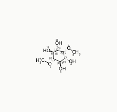 CO[C@@H]1[C@H](O)[C@@H](O)[C@H](OC)[C@@H](O)[C@@H]1O